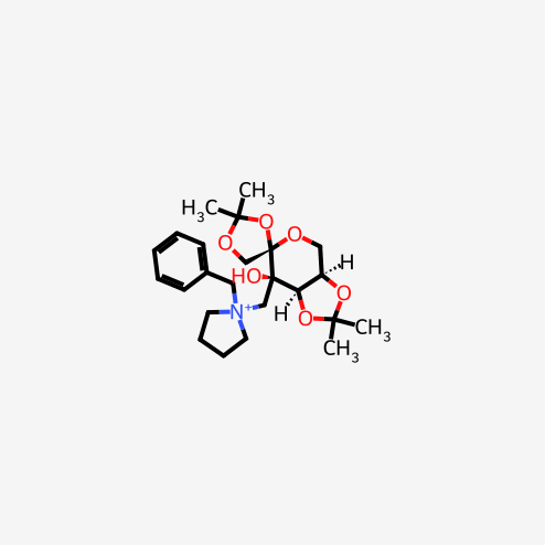 CC1(C)O[C@@H]2[C@@H](CO[C@]3(COC(C)(C)O3)[C@@]2(O)C[N+]2(Cc3ccccc3)CCCC2)O1